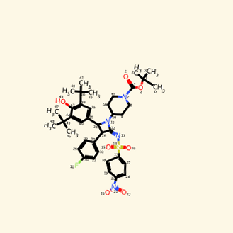 CC(C)(C)OC(=O)N1CCC(N2C(=NS(=O)(=O)c3ccc([N+](=O)[O-])cc3)C(c3ccc(F)cc3)C2c2cc(C(C)(C)C)c(O)c(C(C)(C)C)c2)CC1